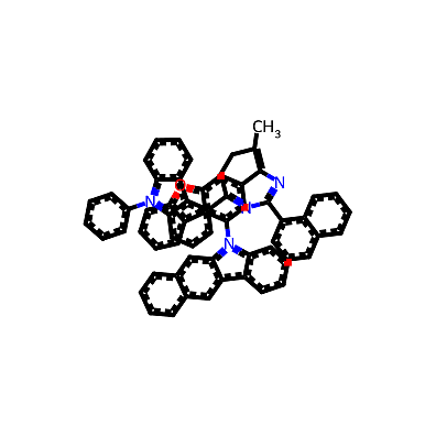 C\C1=C(c2cc(-n3c4ccccc4c4cc5ccccc5cc43)c3c(c2)oc2ccccc23)/N=C(c2cccc3ccccc23)\N=C(\c2cccc3c2c2ccccc2n3-c2ccccc2)CC1